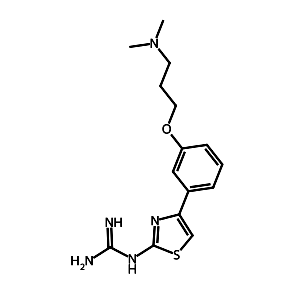 CN(C)CCCOc1cccc(-c2csc(NC(=N)N)n2)c1